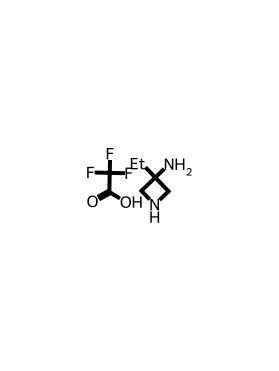 CCC1(N)CNC1.O=C(O)C(F)(F)F